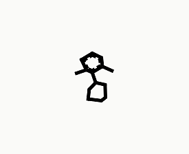 Cc1cccc(C)c1C1CCCCC1